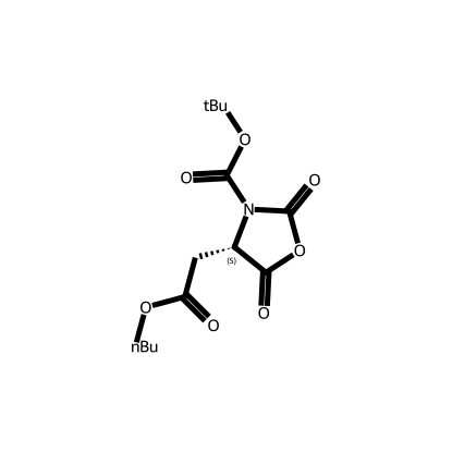 CCCCOC(=O)C[C@H]1C(=O)OC(=O)N1C(=O)OC(C)(C)C